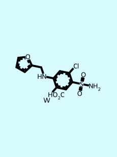 NS(=O)(=O)c1cc(C(=O)O)c(NCc2ccco2)cc1Cl.[W]